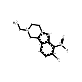 CCN1CCn2nc3c([N+](=O)[O-])c(Cl)ccc3c2C1